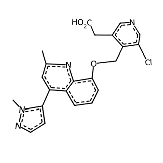 Cc1cc(-c2ccnn2C)c2cccc(OCc3c(Cl)cncc3CC(=O)O)c2n1